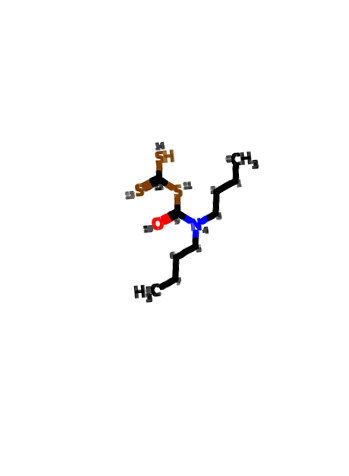 CCCCN(CCCC)C(=O)SC(=S)S